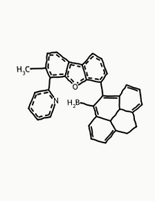 BC1=C2C=CC=C3CCC4=CC=CC(=C1c1cccc5c1oc1c(-c6ccccn6)c(C)ccc15)C4C32